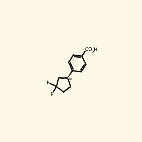 O=C(O)c1ccc([C@H]2CCC(F)(F)C2)cc1